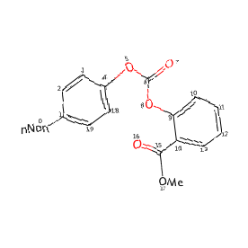 CCCCCCCCCc1ccc(OC(=O)Oc2ccccc2C(=O)OC)cc1